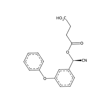 N#C[C@H](OC(=O)CCC(=O)O)c1cccc(Oc2ccccc2)c1